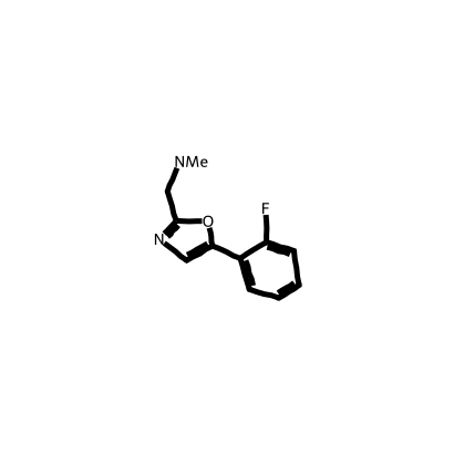 CNCc1ncc(-c2ccccc2F)o1